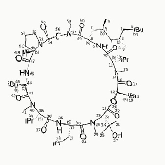 CC[C@H](C)C[C@H](C)C[C@H](C)C[C@@H]1NC(=O)[C@H](C(C)C)N(C)C(=O)C([C@H](C)CC)OC(=O)[C@H](C(C)(C)O)N(C)C(=O)[C@H](CC(C)C)NC(=O)[C@H](C(C)C)N(C)C(=O)[C@H]([C@H](C)CC)NC(=O)[C@@H]2CCCN2C(=O)CN(C)C1=O